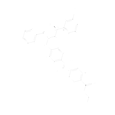 CCOC(=O)c1ccc(S(=O)(=O)c2ccc(CN(Cc3ccccc3)C[C@@H](O)c3cccc(Cl)c3)cc2)cc1